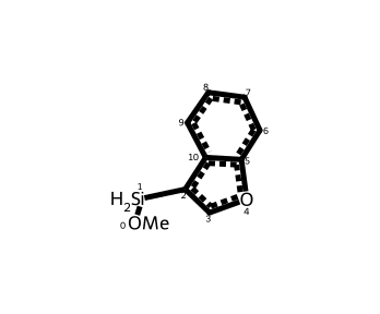 CO[SiH2]c1coc2ccccc12